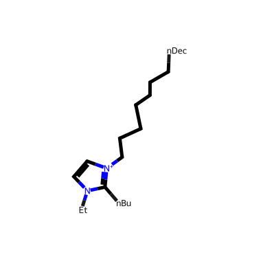 CCCCCCCCCCCCCCCCC[n+]1ccn(CC)c1CCCC